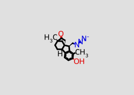 Cc1c(O)ccc2c1[C@H](CN=[N+]=[N-])[C@@]13CC(=O)[C@@](C)(CC[C@@H]21)C3